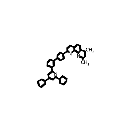 Cc1cc(C)c2ccc3ccc(-c4ccc(-c5cccc(-c6cc(-c7ccccc7)cc(-c7ccccc7)n6)c5)cc4)nc3c2n1